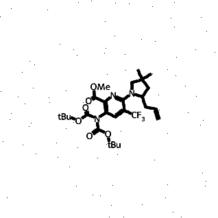 C=CCC1CC(C)(C)CN1c1nc(C(=O)OC)c(N(C(=O)OC(C)(C)C)C(=O)OC(C)(C)C)cc1C(F)(F)F